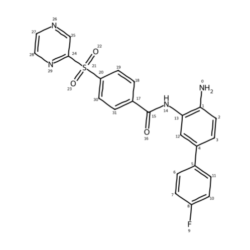 Nc1ccc(-c2ccc(F)cc2)cc1NC(=O)c1ccc(S(=O)(=O)c2cnccn2)cc1